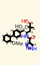 COc1ccccc1-c1ccc(C[C@H](CC(C)(CO)C(=O)O)NC(=O)c2c[nH]nn2)cc1